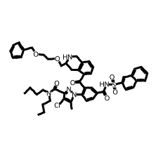 CCCCN(CCCC)C(=O)c1nn(-c2ccc(C(=O)NS(=O)(=O)c3ccc4ccccc4c3)cc2C(=O)c2cccc3c2CC(COCCOCc2ccccc2)NC3)c(C)c1Cl